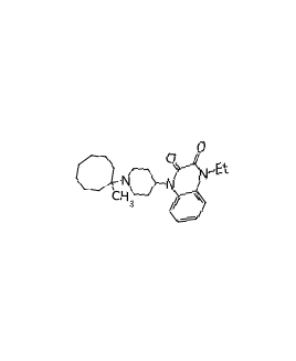 CCn1c(=O)c(=O)n(C2CCN(C3(C)CCCCCCC3)CC2)c2ccccc21